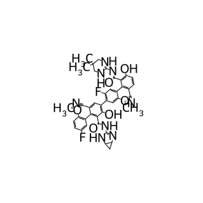 COc1cc(-c2cc(C#N)c(-c3cc(F)ccc3OC)c(C(=O)NC3=NC4CC4N3)c2O)c(F)cc1-c1c(C#N)ccc(O)c1C(=O)NC1=NCC(C)(C)CN1